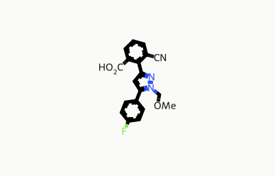 COCn1nc(-c2c(C#N)cccc2C(=O)O)cc1-c1ccc(F)cc1